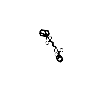 CC1(OC(=O)CCCOC(=O)C2CC3C=CC2C3=O)C2CC3CC(C2)CC1C3